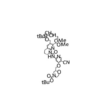 COC(OC)c1nc2c(cc1CO[Si](C)(C)C(C)(C)C)CCCN2C(=O)Nc1cc(OCC2CN(C(=O)OC(C)(C)C)CCO2)c(C#N)cn1